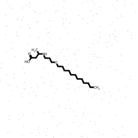 CCCCCCCCCCCCOCCCNC(C)CC(=O)O